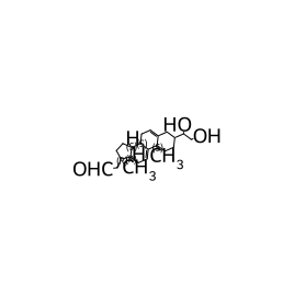 C[C@]12CCC(C(O)CO)CC1=CC[C@@H]1C2=CC[C@]2(C)[C@@H](CC=O)CC[C@@H]12